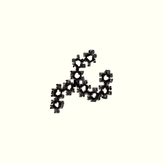 c1ccc(-c2cccc(-c3ccc(N(c4ccc(-c5cccc(-c6ccccc6)c5)cc4)c4ccc(-c5cccc(-c6cccc(-c7ccccc7)c6)c5)cc4)cc3)c2)cc1